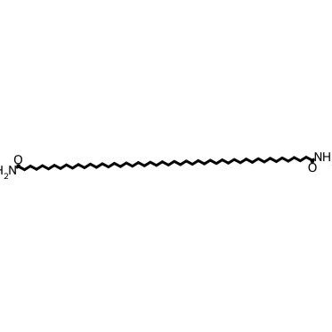 NC(=O)CCCCCCCCCCCCCCCCCCCCCCCCCCCCCCCCCCCCCCCCCCCCCCCCC(N)=O